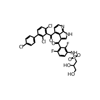 O=C(c1c(F)ccc(NS(=O)(=O)CC(O)CO)c1F)c1c[nH]c2nccc(C(=O)c3c(Cl)ccc(-c4ccc(Cl)cc4)c3Cl)c12